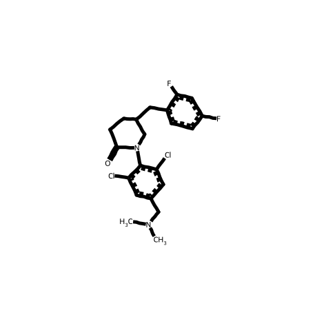 CN(C)Cc1cc(Cl)c(N2CC(Cc3ccc(F)cc3F)CCC2=O)c(Cl)c1